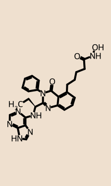 CC[C@H](Nc1ncnc2[nH]cnc12)c1nc2cccc(CCCCC(=O)NO)c2c(=O)n1-c1ccccc1